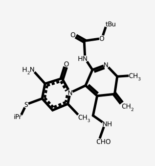 C=C1C(CNC=O)=C(n2c(C)cc(SC(C)C)c(N)c2=O)C(NC(=O)OC(C)(C)C)=NC1C